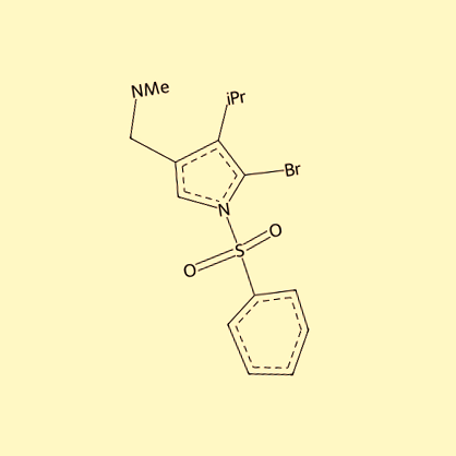 CNCc1cn(S(=O)(=O)c2ccccc2)c(Br)c1C(C)C